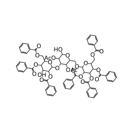 CC(=O)OC1C(O)OC(COC2OC(COC(=O)c3ccccc3)C(OC(=O)c3ccccc3)C(OC(=O)c3ccccc3)C2OC(=O)c2ccccc2)C(OC(C)=O)C1OC1OC(COC(=O)c2ccccc2)C(OC(=O)c2ccccc2)C(O)C1OC(=O)c1ccccc1